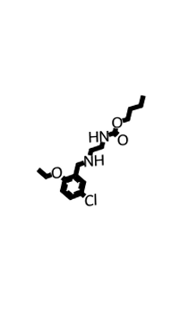 CCCCOC(=O)NCCNCc1cc(Cl)ccc1OCC